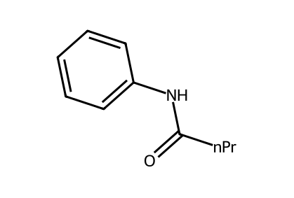 [CH2]CCC(=O)Nc1ccccc1